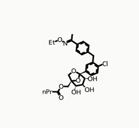 CCCC(=O)OC[C@@]12CO[C@@](c3ccc(Cl)c(Cc4ccc(C(C)=NOCC)cc4)c3)(O1)[C@H](O)[C@@H](O)[C@@H]2O